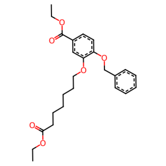 CCOC(=O)CCCCCCOc1cc(C(=O)OCC)ccc1OCc1ccccc1